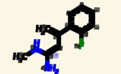 C=C(/C=C(/N)NC)c1ccccc1F